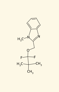 Cn1c(COC(F)(F)C(C)(C)C)nc2ccccc21